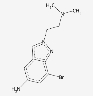 CN(C)CCn1cc2cc(N)cc(Br)c2n1